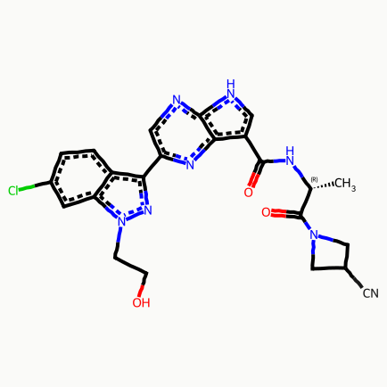 C[C@@H](NC(=O)c1c[nH]c2ncc(-c3nn(CCO)c4cc(Cl)ccc34)nc12)C(=O)N1CC(C#N)C1